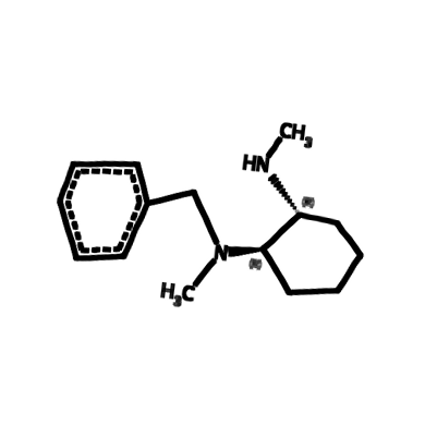 CN[C@@H]1CCCC[C@H]1N(C)Cc1ccccc1